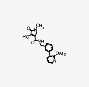 COc1ncccc1-c1cccc(CNC(=O)C2=C(O)C(=O)N(C)C2)c1